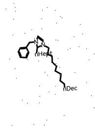 CCCCCCCCCCCCCCCCCCCN1C=CN(Cc2ccccc2)C1CCCCCCC